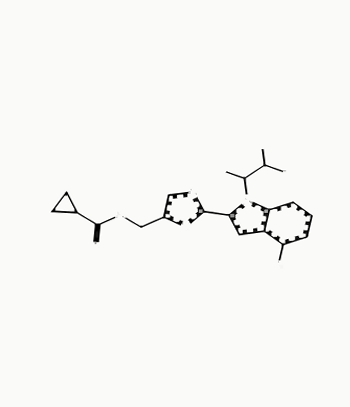 O=C(NCc1cnc(-c2cc3c(Br)cccc3n2C(F)C(F)F)s1)C1CC1